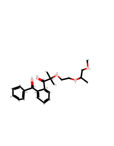 COCC(C)OCCOC(C)(C)C(=O)c1ccccc1C(=O)c1ccccc1